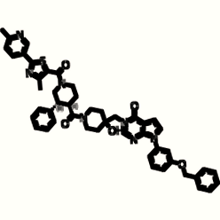 Cc1ccc(-c2nc(C)c(C(=O)N3CC[C@@H](C(=O)N4CCC(O)(Cn5cnc6c(ccn6-c6cccc(OCc7ccccc7)c6)c5=O)CC4)[C@H](c4ccccc4)C3)s2)cn1